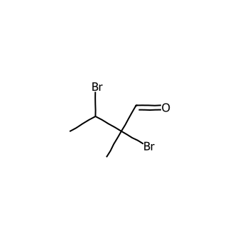 CC(Br)C(C)(Br)C=O